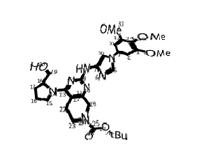 COc1cc(-n2cnc(Nc3nc4c(c(N5CCCC5CO)n3)CCN(C(=O)OC(C)(C)C)C4)c2)cc(OC)c1OC